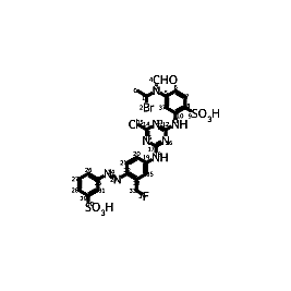 CC(Br)N(C=O)c1ccc(S(=O)(=O)O)c(Nc2nc(Cl)nc(Nc3ccc(N=Nc4cccc(S(=O)(=O)O)c4)c(CF)c3)n2)c1